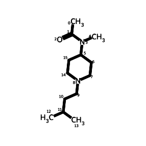 CC(=O)N(C)C1CCN(CCC(C)C)CC1